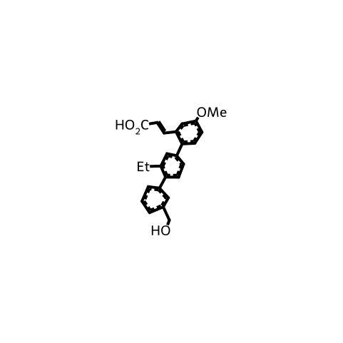 CCc1cc(-c2ccc(OC)cc2/C=C/C(=O)O)ccc1-c1cccc(CO)c1